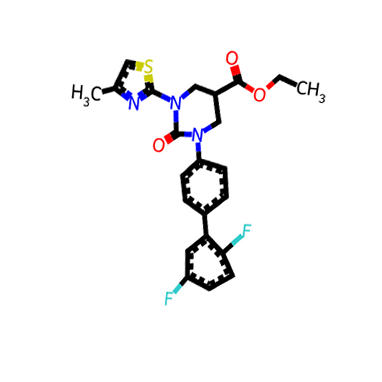 CCOC(=O)C1CN(c2ccc(-c3cc(F)ccc3F)cc2)C(=O)N(c2nc(C)cs2)C1